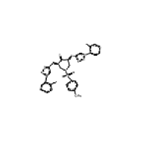 COc1ccc(S(=O)(=O)N2CC(=Cc3cn(-c4ccccc4C)nn3)C(=O)C(=Cc3cn(-c4ccccc4C)nn3)C2)cc1